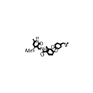 CSc1cc(C)[nH]c(=O)c1CNC(=O)c1ccc2c(c1C)OC1(CCC(CN(C)C)CC1)O2